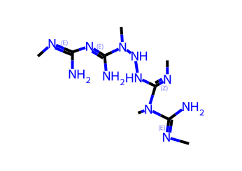 C/N=C(\NNN(C)/C(N)=N/C(N)=N/C)N(C)/C(N)=N/C